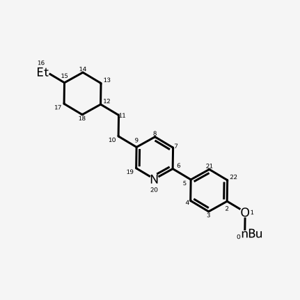 CCCCOc1ccc(-c2ccc(CCC3CCC(CC)CC3)cn2)cc1